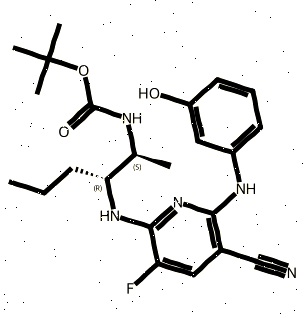 CCC[C@@H](Nc1nc(Nc2cccc(O)c2)c(C#N)cc1F)[C@H](C)NC(=O)OC(C)(C)C